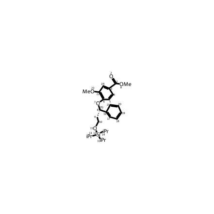 COC(=O)c1ccc(O[C@@H](CCO[Si](C(C)C)(C(C)C)C(C)C)c2ccccc2)c(OC)c1